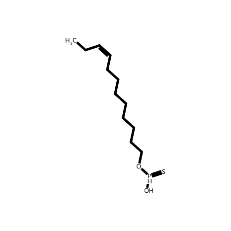 CC/C=C\CCCCCCCCO[PH](O)=S